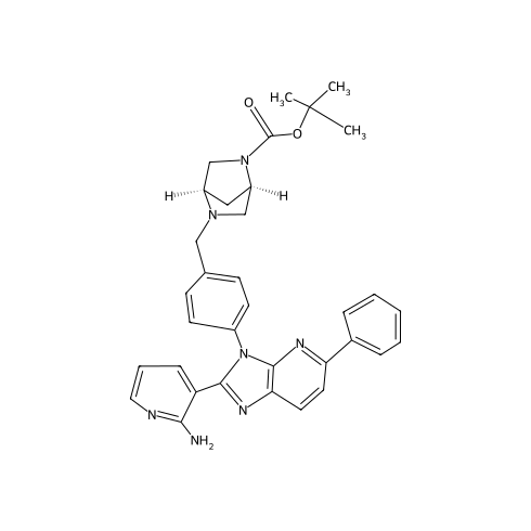 CC(C)(C)OC(=O)N1C[C@H]2C[C@@H]1CN2Cc1ccc(-n2c(-c3cccnc3N)nc3ccc(-c4ccccc4)nc32)cc1